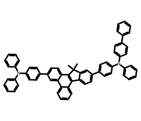 CC1(C)c2cc(-c3ccc(N(c4ccccc4)c4ccc(-c5ccccc5)cc4)cc3)ccc2-c2c1c1ccc(-c3ccc(N(c4ccccc4)c4ccccc4)cc3)cc1c1ccccc21